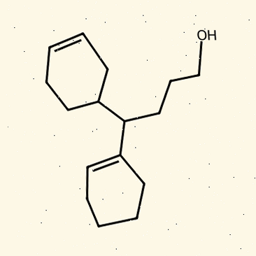 OCCCC(C1=CCCCC1)C1CC=CCC1